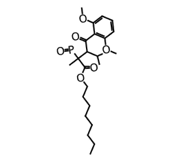 CCCCCCCCOC(=O)C(C)(P=O)C(C(=O)c1c(OC)cccc1OC)C(C)C